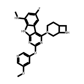 CNc1cc(F)cc2c1[nH]c1nc(Oc3cncc(OC)c3)nc(N3CCC4CNC4C3)c12